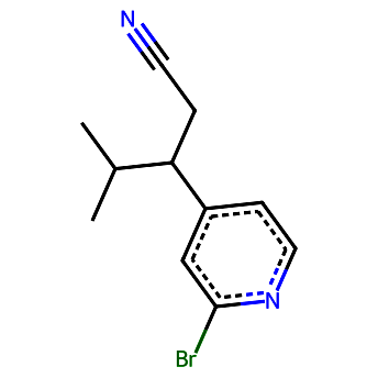 CC(C)C(CC#N)c1ccnc(Br)c1